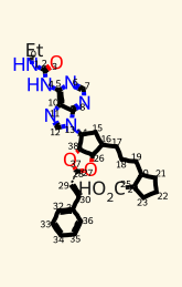 CCNC(=O)Nc1ncnc2c1ncn2C1CC(CCCC2CCCC2C(=O)O)C2O[C@H](/C=C/c3ccccc3)OC21